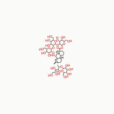 C=C1C[C@@]23CC[C@H]4[C@@](C)(CCC[C@@]4(C)C(=O)OC4OC(CO)C(O)C(O)C4OC4OC(CO)C(O)C(O)C4OC4OC(CO)C(O)C(O)C4O)[C@@H]2CC[C@]1(CC(OC1OC(CO)C(O)C(O)C1O)C(O)C(O)C(O)CO)C3